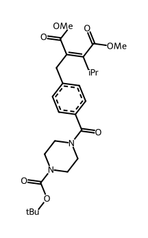 COC(=O)C(Cc1ccc(C(=O)N2CCN(C(=O)OC(C)(C)C)CC2)cc1)=C(C(=O)OC)C(C)C